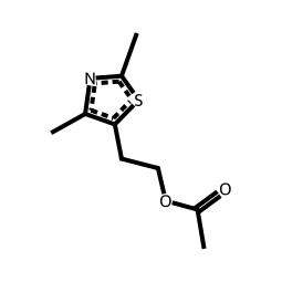 CC(=O)OCCc1sc(C)nc1C